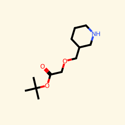 CC(C)(C)OC(=O)COCC1CCCNC1